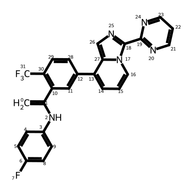 C=C(Nc1ccc(F)cc1)c1cc(-c2cccn3c(-c4ncccn4)ncc23)ccc1C(F)(F)F